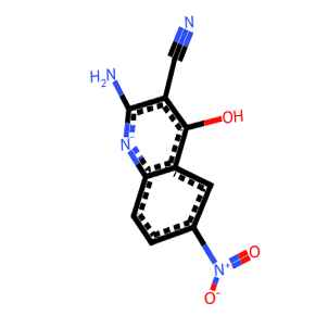 N#Cc1c(N)nc2ccc([N+](=O)[O-])cc2c1O